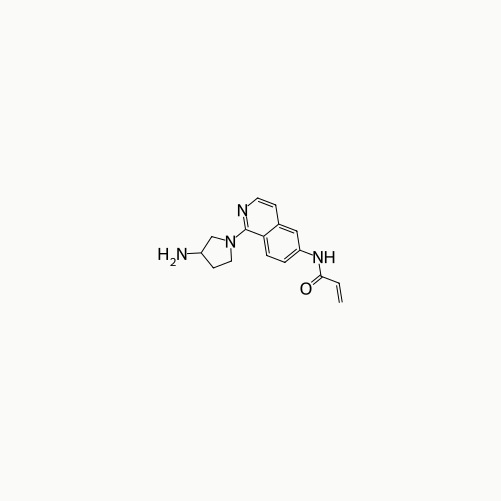 C=CC(=O)Nc1ccc2c(N3CCC(N)C3)nccc2c1